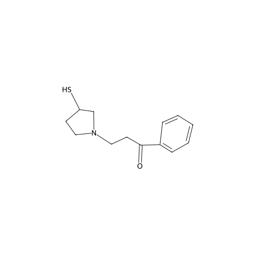 O=C(CCN1CCC(S)C1)c1ccccc1